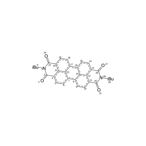 CCC(C)N1C(=O)c2ccc3c4ccc5c6c(ccc(c7ccc(c2c37)C1=O)c64)C(=O)N(C(C)CC)C5=O